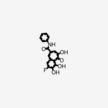 O=C(Nc1ccccc1)c1cc(O)c(=O)c2c(O)c(O)c(F)cc2c1